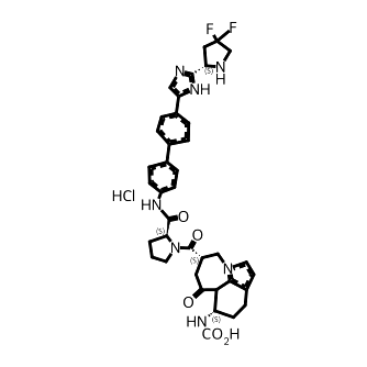 Cl.O=C(O)N[C@H]1CCc2ccn3c2C1C(=O)C[C@H](C(=O)N1CCC[C@H]1C(=O)Nc1ccc(-c2ccc(-c4cnc([C@@H]5CC(F)(F)CN5)[nH]4)cc2)cc1)C3